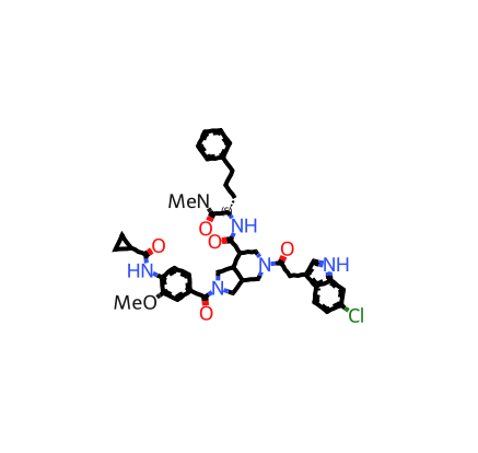 CNC(=O)[C@H](CCCc1ccccc1)NC(=O)C1CN(C(=O)Cc2c[nH]c3cc(Cl)ccc23)CC2CN(C(=O)c3ccc(NC(=O)C4CC4)c(OC)c3)CC21